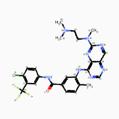 Cc1ccc(C(=O)Nc2ccc(Cl)c(C(F)(F)F)c2)cc1Nc1ncnc2cnc(N(C)CCN(C)C)nc12